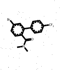 CN(C)C(=O)c1ccc(Br)cc1-c1ccc(C(F)(F)F)cc1